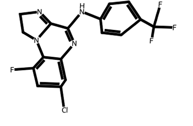 Fc1cc(Cl)cc2c1N1CCN=C1C(Nc1ccc(C(F)(F)F)cc1)=N2